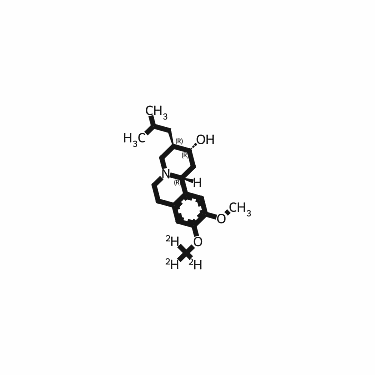 [2H]C([2H])([2H])Oc1cc2c(cc1OC)[C@H]1C[C@@H](O)[C@H](CC(C)C)CN1CC2